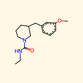 CCNC(=O)N1CCCC(Cc2cccc(OC)c2)C1